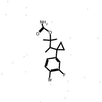 CC(C(C)(C)OC(N)=O)C1(c2ccc(Br)c(F)c2)CC1